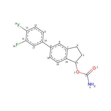 NC(=O)OC1CCc2cc(-c3ccc(F)c(F)c3)ccc21